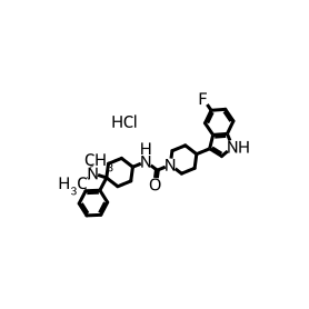 CN(C)C1(c2ccccc2)CCC(NC(=O)N2CCC(c3c[nH]c4ccc(F)cc34)CC2)CC1.Cl